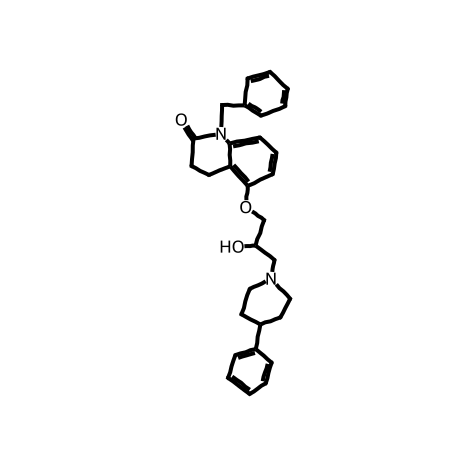 O=C1CCc2c(OCC(O)CN3CCC(c4ccccc4)CC3)cccc2N1Cc1ccccc1